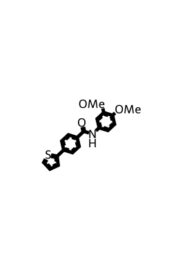 COc1ccc(NC(=O)c2ccc(-c3cccs3)cc2)cc1OC